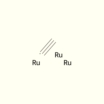 [C]#C.[Ru].[Ru].[Ru]